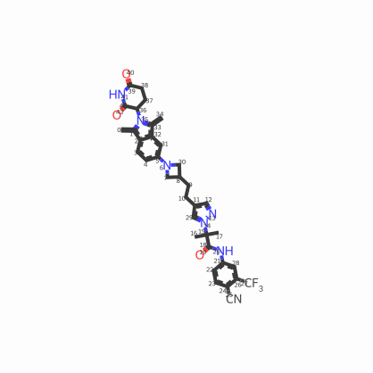 C=c1c2ccc(N3CC(CCc4cnn(C(C)(C)C(=O)Nc5ccc(C#N)c(C(F)(F)F)c5)c4)C3)cc2c(=C)n1C1CCC(=O)NC1=O